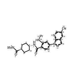 CNC(=O)[C@H]1CC[C@H](NC(=O)c2cnc(-n3ncc4cc(C#N)cnc43)cc2NC(C)C)CC1